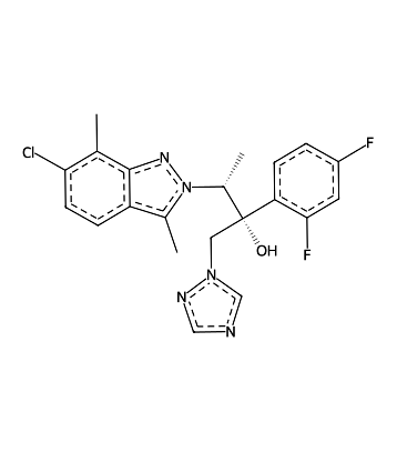 Cc1c(Cl)ccc2c(C)n([C@H](C)[C@](O)(Cn3cncn3)c3ccc(F)cc3F)nc12